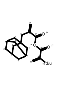 C=C(CC12CC3CC(CC(C3)C1)C2)C(=O)OC(=O)C(=C)C(C)(C)C